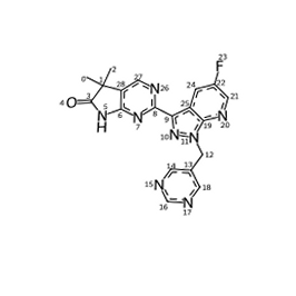 CC1(C)C(=O)Nc2nc(-c3nn(Cc4cncnc4)c4ncc(F)cc34)ncc21